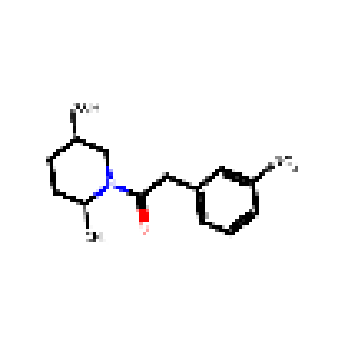 C[C@H]1CC[C@@H](C(=O)O)CN1C(=O)Cc1cccc([N+](=O)[O-])c1